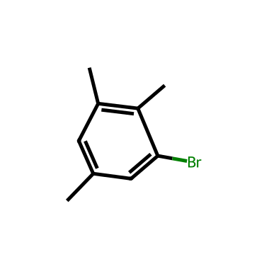 Cc1cc(C)c(C)c(Br)c1